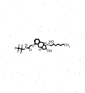 CCCCC[C@H](O)CO[C@@H]1[C@H]2Cc3cccc(OCC(=O)NCC(F)(F)C(F)(F)F)c3C[C@H]2C[C@H]1O